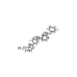 CC1NC=C2OC(c3ccc(Nc4ccnc(NCc5ccccc5)n4)cc3)=NN21